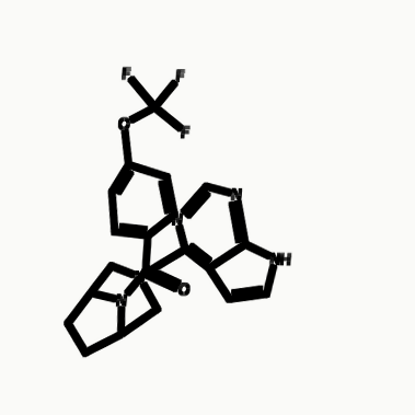 O=C(c1ccc(OC(F)(F)F)cc1)N1C2CCC1CN(c1ncnc3[nH]ccc13)C2